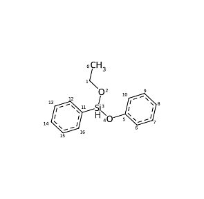 CCO[SiH](Oc1ccccc1)c1ccccc1